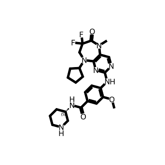 COc1cc(C(=O)N[C@H]2CCCNC2)ccc1Nc1ncc2c(n1)N(C1CCCC1)CC(F)(F)C(=O)N2C